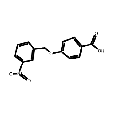 O=C(O)c1ccc(OCc2cccc([N+](=O)[O-])c2)cc1